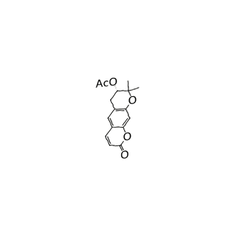 CC(=O)O[C@H]1Cc2cc3ccc(=O)oc3cc2OC1(C)C